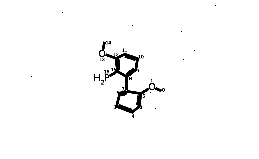 COc1ccccc1-c1cccc(OC)c1P